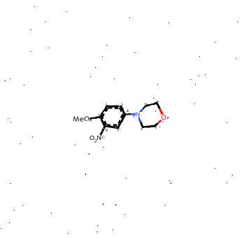 COc1ccc(N2CCOCC2)cc1[N+](=O)[O-]